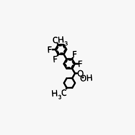 Cc1ccc(-c2ccc(C(OO)C3CCC(C)CC3)c(F)c2F)c(F)c1F